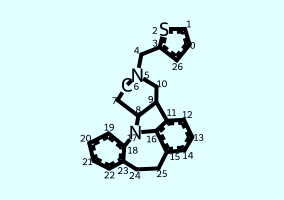 c1csc(CN2CCC3C(C2)c2cccc4c2N3c2ccccc2CC4)c1